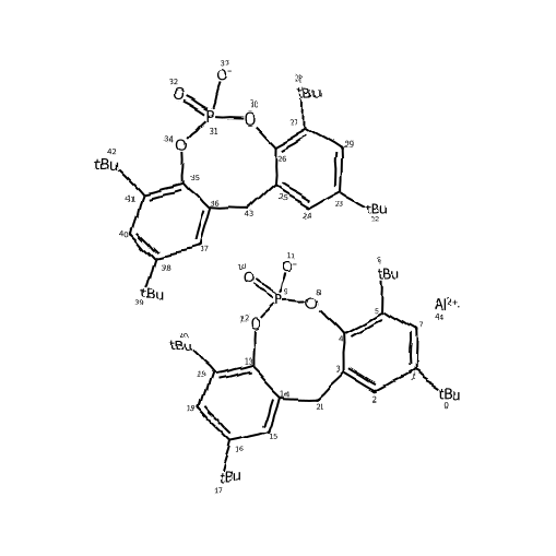 CC(C)(C)c1cc2c(c(C(C)(C)C)c1)OP(=O)([O-])Oc1c(cc(C(C)(C)C)cc1C(C)(C)C)C2.CC(C)(C)c1cc2c(c(C(C)(C)C)c1)OP(=O)([O-])Oc1c(cc(C(C)(C)C)cc1C(C)(C)C)C2.[Al+2]